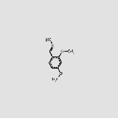 COc1ccc(C=NO)c(OC)c1